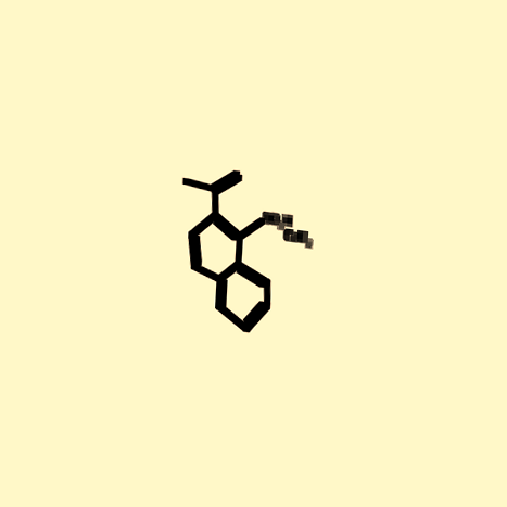 C=C(C)c1ccc2ccccc2c1S(=O)(=O)O.[CaH2]